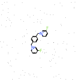 Fc1ccc[n+](Cc2ccc(C[n+]3cccc(F)c3)cc2)c1